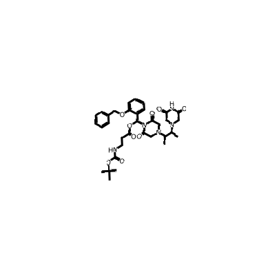 CC(C(C)N1CC(=O)N(C(OC(=O)CCNC(=O)OC(C)(C)C)c2ccccc2OCc2ccccc2)C(=O)C1)N1CC(=O)NC(=O)C1